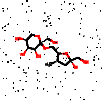 C[C@H]1C[C@](O)(CO)O[C@@H]1CO[C@]1(CO)OC[C@@H](O)[C@@H](O)[C@H]1O